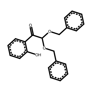 O=C(c1ccccc1O)C(OCc1ccccc1)OCc1ccccc1